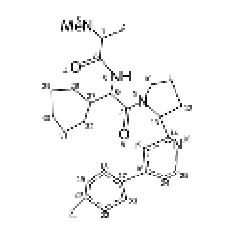 CNC(C)C(=O)NC(C(=O)N1CCCC1c1cc(-c2ccc(C)cc2)ccn1)C1CCCCC1